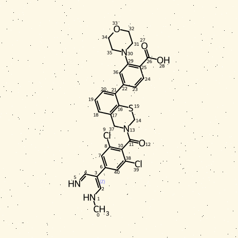 CN/C=C(\C=N)c1cc(Cl)c(C(=O)N2CSc3c(cccc3-c3ccc(C(=O)O)c(N4CCOCC4)c3)C2)c(Cl)c1